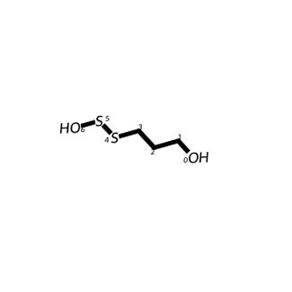 OCCCSSO